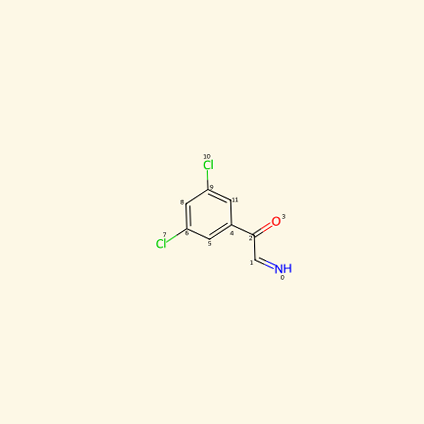 N=CC(=O)c1cc(Cl)cc(Cl)c1